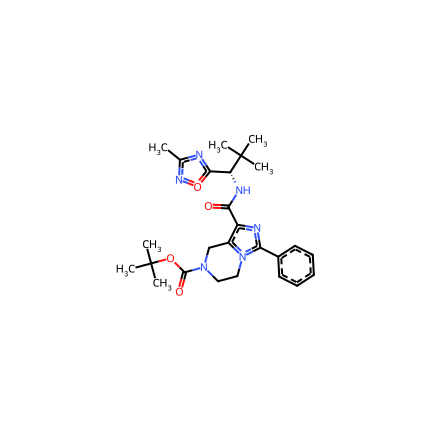 Cc1noc([C@@H](NC(=O)c2nc(-c3ccccc3)n3c2CN(C(=O)OC(C)(C)C)CC3)C(C)(C)C)n1